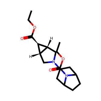 CCOC(=O)[C@H]1[C@@H]2CN(C3CC4CCC(C3)N4C(=O)OCC)C[C@@H]21